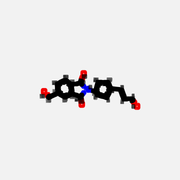 O=CC=Cc1ccc(N2C(=O)c3ccc(C=O)cc3C2=O)cc1